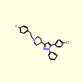 Fc1ccc(CCN2CCC(c3cc(-c4ccc(Cl)cc4)n(-c4ccccc4)n3)CC2)cc1